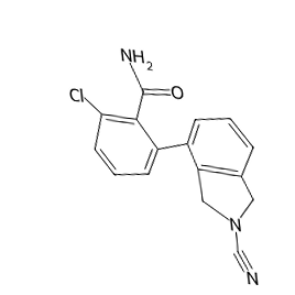 N#CN1Cc2cccc(-c3cccc(Cl)c3C(N)=O)c2C1